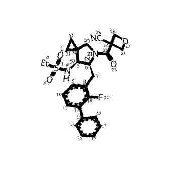 CCS(=O)(=O)N[C@@H]1[C@H](Cc2cccc(-c3ccccc3)c2F)N(C(=O)C2(C#N)COC2)CC12CC2